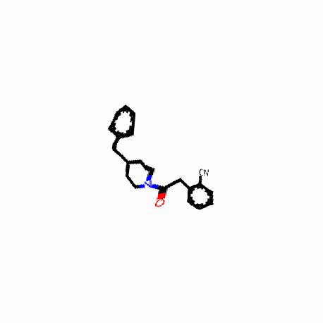 N#Cc1ccccc1CC(=O)N1CCC(Cc2ccccc2)CC1